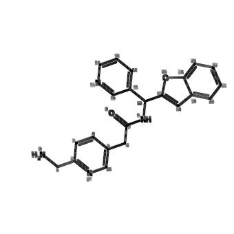 NCc1ccc(CC(=O)NC(c2cccnc2)c2cc3ccccc3o2)cn1